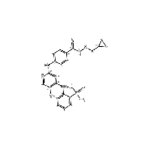 CP(C)(=O)c1ccccc1Nc1nc(Nc2ccc(C(=O)NOCC3CC3)cc2)ncc1C(F)(F)F